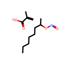 C=C(C)C(=O)O.CCCCCCC(C)ON=O